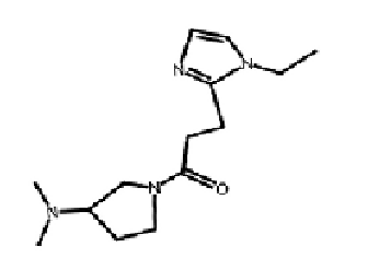 CCn1ccnc1CCC(=O)N1CCC(N(C)C)C1